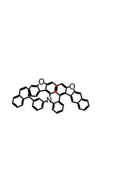 c1cc(-c2cccc3ccccc23)cc(N(c2ccccc2-c2cccc3oc4cc5ccccc5cc4c23)c2cccc3oc4ccccc4c23)c1